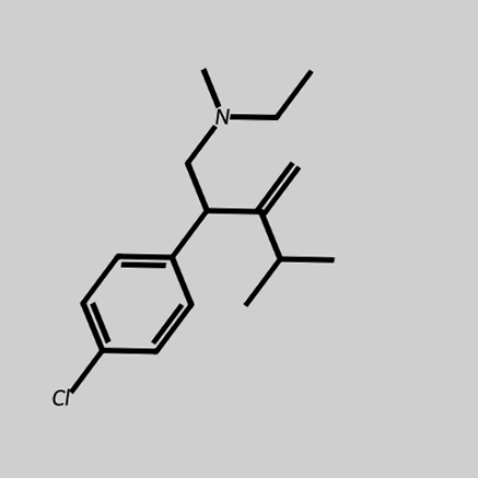 C=C(C(C)C)C(CN(C)CC)c1ccc(Cl)cc1